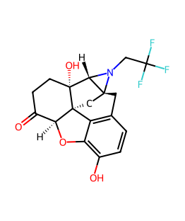 O=C1CC[C@@]2(O)[C@@H]3N(CC(F)(F)F)[C@@]34Cc3ccc(O)c5c3[C@@]2(C4)[C@H]1O5